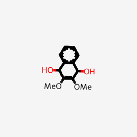 COC1=C(OC)C(O)c2ccccc2C1O